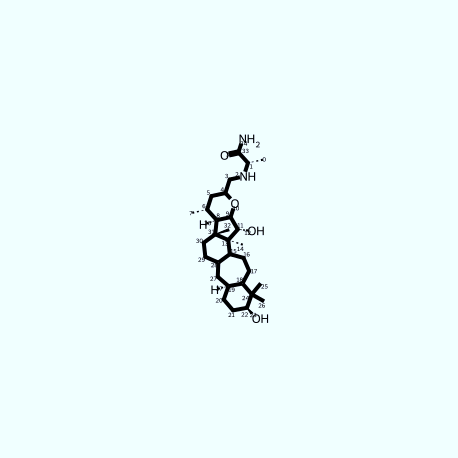 C[C@H](NCC1C[C@@H](C)[C@H]2C(O1)[C@H](O)[C@@]1(C)C3CCC4[C@@H](CC[C@H](O)C4(C)C)CC3CC[C@]21C)C(N)=O